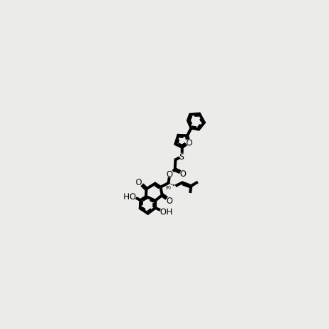 CC(C)=CC[C@@H](OC(=O)CSc1ccc(-c2ccccc2)o1)C1=CC(=O)c2c(O)ccc(O)c2C1=O